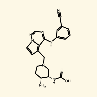 N#Cc1cccc(Nc2ncnn3ccc(CN4CC[C@@H](N)[C@@H](NC(=O)O)C4)c23)c1